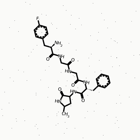 CC1CC(NC(=O)[C@@H](Cc2ccccc2)NC(=O)CNC(=O)CNC(=O)[C@H](N)Cc2ccc(F)cc2)C(=O)N1